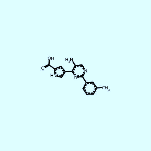 Cc1cccc(-c2ncc(N)c(-c3c[nH]c(C(=O)O)c3)n2)c1